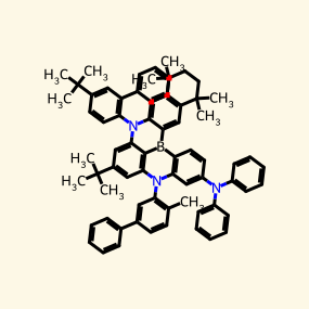 Cc1ccc(-c2ccccc2)cc1N1c2cc(N(c3ccccc3)c3ccccc3)ccc2B2c3cc4c(cc3N(c3ccc(C(C)(C)C)cc3-c3ccccc3)c3cc(C(C)(C)C)cc1c32)C(C)(C)CCC4(C)C